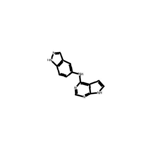 c1nc(Nc2ccc3[nH]ncc3c2)c2cc[nH]c2n1